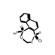 O=S1(=O)OCOS(=O)(=O)c2c1ccc1ccccc21.[Na]